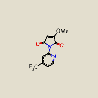 COC1=CC(=O)N(c2cc(C(F)(F)F)ccn2)C1=O